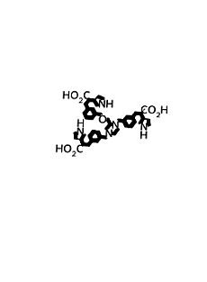 O=C(O)[C@@H](Cc1cccc(COCC2CN(Cc3cccc(C[C@H](C(=O)O)[C@H]4CCNC4)c3)CCN2Cc2cccc(C[C@H](C(=O)O)[C@H]3CCNC3)c2)c1)[C@H]1CCNC1